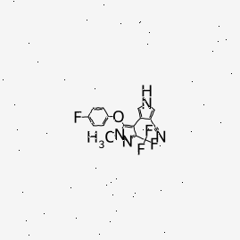 Cn1nc(C(F)(F)F)c(-c2c[nH]cc2C#N)c1Oc1ccc(F)cc1